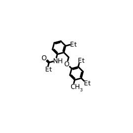 CCC(=O)Nc1cccc(CC)c1COc1cc(C)c(CC)cc1CC